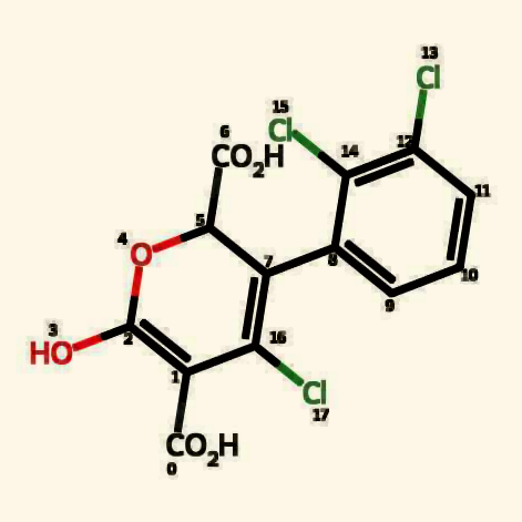 O=C(O)C1=C(O)OC(C(=O)O)C(c2cccc(Cl)c2Cl)=C1Cl